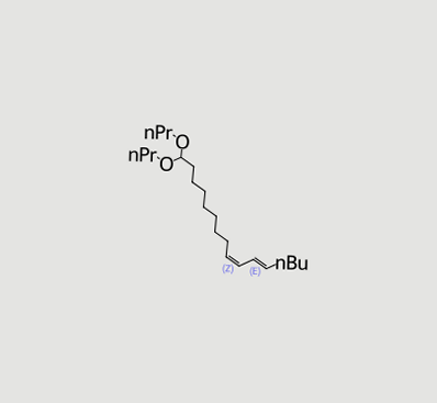 CCCC/C=C/C=C\CCCCCCCC(OCCC)OCCC